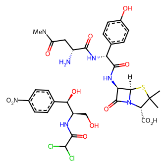 CNC(=O)C[C@@H](N)C(=O)N[C@@H](C(=O)N[C@@H]1C(=O)N2[C@@H]1SC(C)(C)[C@@H]2C(=O)O)c1ccc(O)cc1.O=C(N[C@H](CO)[C@H](O)c1ccc([N+](=O)[O-])cc1)C(Cl)Cl